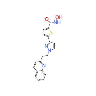 O=C(NO)c1ccc(-c2ccn(CCc3ccc4ccccc4n3)n2)s1